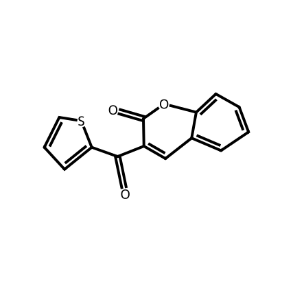 O=C(c1cccs1)c1cc2ccccc2oc1=O